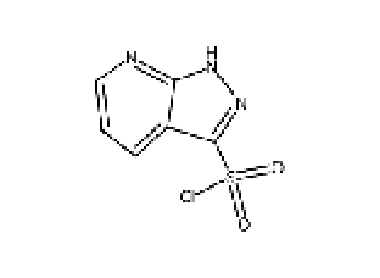 O=S(=O)(Cl)c1n[nH]c2ncccc12